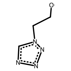 [O]CCn1cnnn1